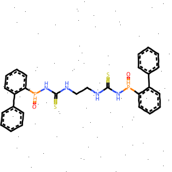 O=[PH](NC(=S)NCCNC(=S)N[PH](=O)c1ccccc1-c1ccccc1)c1ccccc1-c1ccccc1